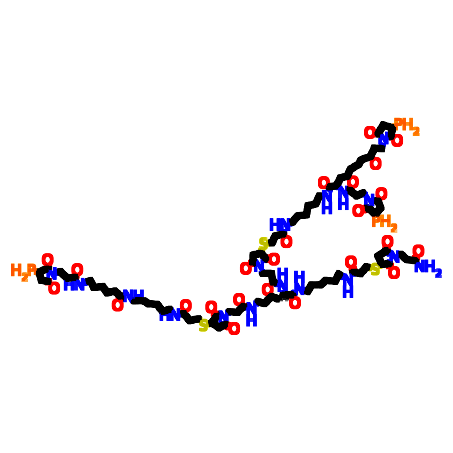 NC(=O)CCN1C(=O)CC(SCCC(=O)NCCCCCCNC(=O)[C@H](CCCCNC(=O)CCN2C(=O)CC(SCCC(=O)NCCCCCCNC(=O)CCCCCNC(=O)CCN3C(=O)CC(P)C3=O)C2=O)NC(=O)CCN2C(=O)CC(SCCC(=O)NCCCCCCNC(=O)C(CCCCCC(=O)CCN3C(=O)CC(P)C3=O)NC(=O)CCN3C(=O)CC(P)C3=O)C2=O)C1=O